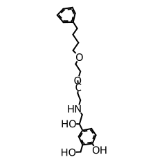 OCc1cc(C(O)CNCCCOCCOCCCCc2ccccc2)ccc1O